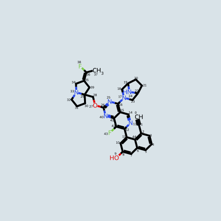 C#Cc1cccc2cc(O)cc(-c3ncc4c(N5CC6CCC(C5)N6)nc(OCC56CCCN5CC(=C(C)F)C6)nc4c3F)c12